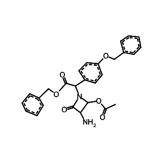 CC(=O)OC1C(N)C(=O)N1C(C(=O)OCc1ccccc1)c1ccc(OCc2ccccc2)cc1